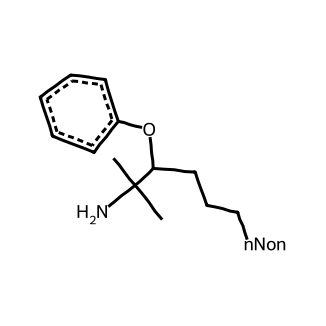 CCCCCCCCCCCCC(Oc1ccccc1)C(C)(C)N